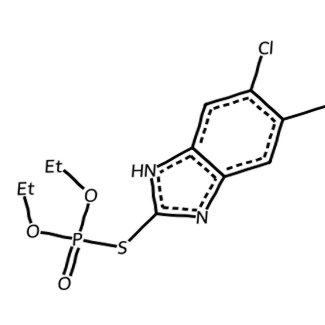 CCOP(=O)(OCC)Sc1nc2cc(I)c(Cl)cc2[nH]1